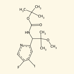 COC(C)(C)C(NC(=O)OC(C)(C)C)c1cc(I)c(F)cn1